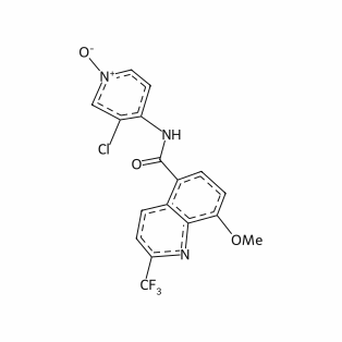 COc1ccc(C(=O)Nc2cc[n+]([O-])cc2Cl)c2ccc(C(F)(F)F)nc12